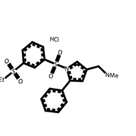 CCS(=O)(=O)c1cccc(S(=O)(=O)n2cc(CNC)cc2-c2ccccc2)c1.Cl